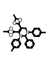 Cc1ccc(N2CC(C3OC(C)O3)=C(C3OC(C)O3)N(c3ccc(C)cc3)C2c2ccccc2)cc1